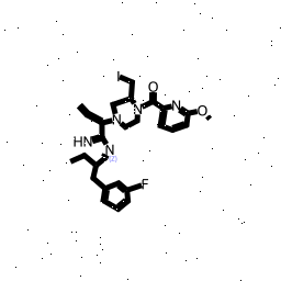 C=C=C(C(=N)/N=C\C(CC)Cc1cccc(F)c1)N1CCN(C(=O)c2cccc(OC)n2)C(CI)C1